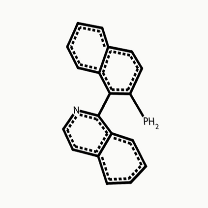 Pc1ccc2ccccc2c1-c1nccc2ccccc12